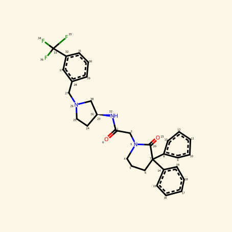 O=C(CN1CCCC(c2ccccc2)(c2ccccc2)C1=O)N[C@H]1CCN(Cc2cccc(C(F)(F)F)c2)C1